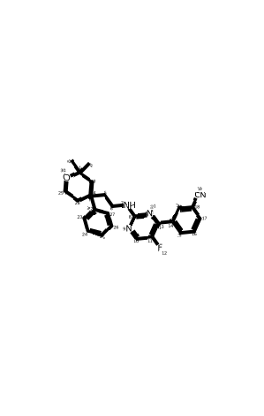 CC1(C)CC(CCNc2ncc(F)c(-c3cccc(C#N)c3)n2)(c2ccccc2)CCO1